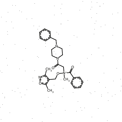 Cc1noc(C)c1CO[N+](C)(CC(=O)N1CCN(Cc2ccccc2)CC1)C(=O)c1ccccc1